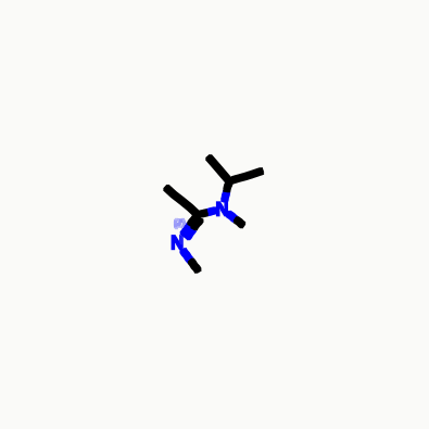 C/N=C(/C)N(C)C(C)C